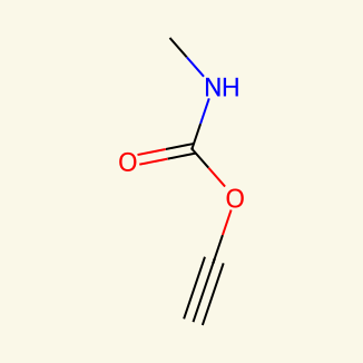 C#COC(=O)NC